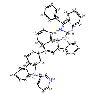 C1=CC(c2cc3c4ccccc4n(-c4nc(-c5ccccc5)c5ccccc5n4)c3c3ccccc23)Cc2c1c1ccccc1n2-c1cccnc1